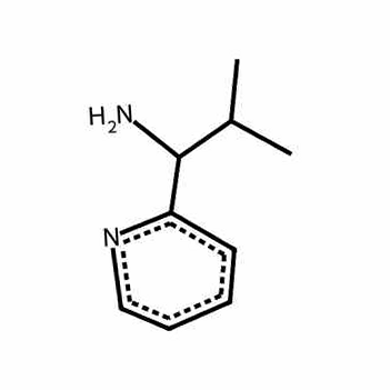 CC(C)C(N)c1ccccn1